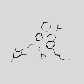 COCCCc1cc(CN(C(=O)[C@H]2CNCC[C@@H]2c2ccc(OCCOc3c(Cl)cc(C)cc3Cl)nc2)C2CC2)cc(OC[C@H]2C[C@@H]2C(=O)O)c1